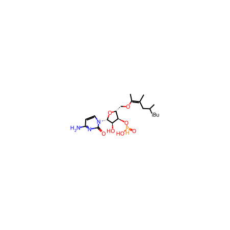 CCC(C)C(C)C/C(C)=C(/C)OC[C@H]1O[C@@H](n2ccc(N)nc2=O)[C@H](O)[C@@H]1O[PH](=O)O